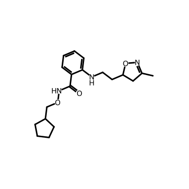 CC1=NOC(CCNc2ccccc2C(=O)NOCC2CCCC2)C1